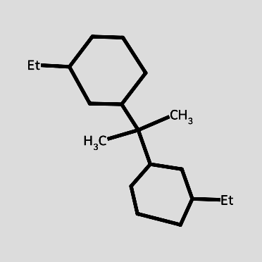 CCC1CCCC(C(C)(C)C2CCCC(CC)C2)C1